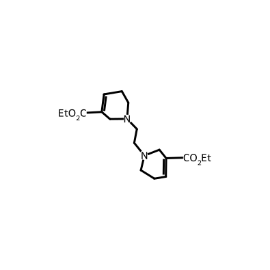 CCOC(=O)C1=CCCN(CCN2CCC=C(C(=O)OCC)C2)C1